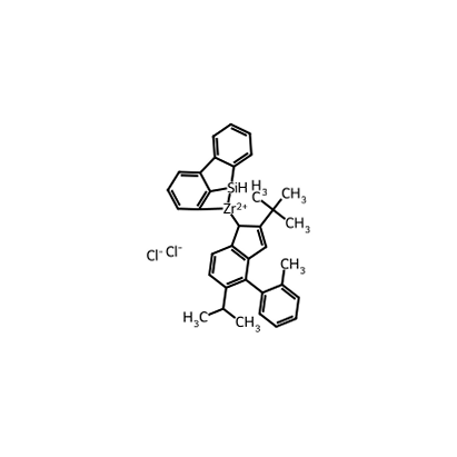 Cc1ccccc1-c1c(C(C)C)ccc2c1C=C(C(C)(C)C)[CH]2[Zr+2]1[c]2cccc3c2[SiH]1c1ccccc1-3.[Cl-].[Cl-]